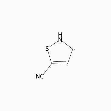 N#CC1=C[CH]NS1